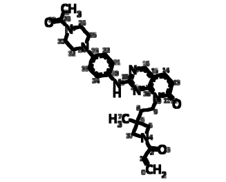 C=CC(=O)N1CC(C)(CCn2c(=O)ccc3cnc(Nc4ccc(N5CCN(C(C)=O)CC5)cc4)nc32)C1